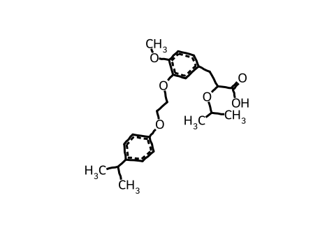 COc1ccc(CC(OC(C)C)C(=O)O)cc1OCCOc1ccc(C(C)C)cc1